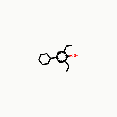 CCc1cc(C2CCCCC2)cc(CC)c1O